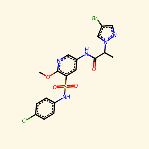 COc1ncc(NC(=O)C(C)n2cc(Br)cn2)cc1S(=O)(=O)Nc1ccc(Cl)cc1